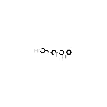 Fc1ccc(F)c([C@H]2CCN(c3ccc(OCC4CCNCC4)cn3)C[C@@H]2NCl)c1